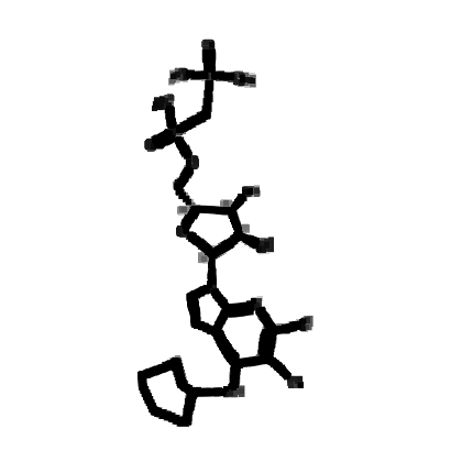 N#Cc1c(Cl)nc2c(ccn2[C@H]2O[C@H](COP(=O)(O)CP(=O)(O)O)[C@@H](O)[C@H]2O)c1NC1CCCC1